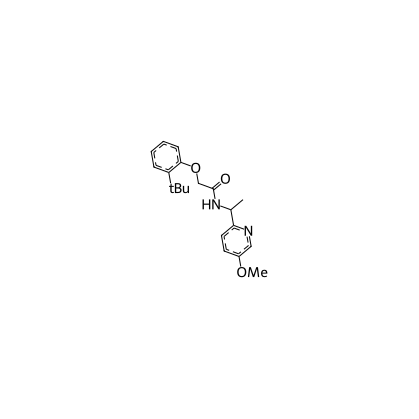 COc1ccc(C(C)NC(=O)COc2ccccc2C(C)(C)C)nc1